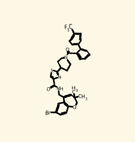 CC1(C)C=C(CNC(=O)c2csc(C3CCN(C(=O)c4ccccc4-c4ccc(C(F)(F)F)cc4)CC3)n2)c2cc(Br)ccc2OC1